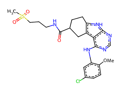 COc1ccc(Cl)cc1Nc1ncnc2[nH]c3c(c12)CC(C(=O)NCCCS(C)(=O)=O)CC3